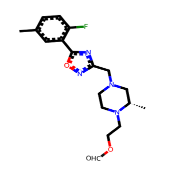 Cc1ccc(F)c(-c2nc(CN3CCN(CCOC=O)[C@@H](C)C3)no2)c1